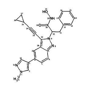 Cn1cc(-c2ccc3nn(C(Cc4ccccc4)C(=O)NO)c(C#CC4CC4)c3c2)cn1